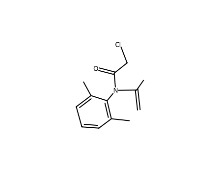 C=C(C)N(C(=O)CCl)c1c(C)cccc1C